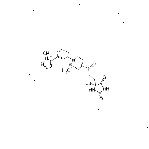 CCC(C)C1(CCC(=O)N2CCN(c3cccc(-c4ccnn4C)c3)[C@@H](C)C2)NC(=O)NC1=O